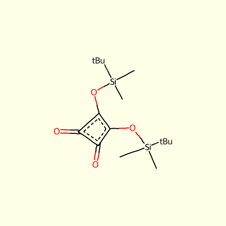 CC(C)(C)[Si](C)(C)Oc1c(O[Si](C)(C)C(C)(C)C)c(=O)c1=O